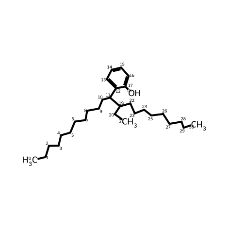 CCCCCCCCCCCC(c1ccccc1O)C(CC)CCCCCCCCC